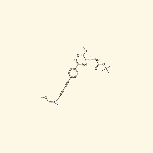 COC=C1C[C@@H]1C#CC#Cc1ccc(C(=O)N[C@H](C(=O)OC)C(C)(C)NC(=O)OC(C)(C)C)cc1